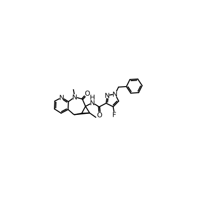 CN1C(=O)C2(NC(=O)c3nn(Cc4ccccc4)cc3F)C3C(c4cccnc41)C32C